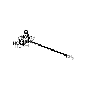 CCCCCCCCCCCCCCCCCCCCCCCC(=O)N[C@@H](COC1OC(CO)C(O)C(O)C1O)[C@H](O)[C@H](O)CC1CCCC1